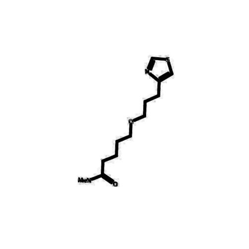 CNC(=O)CCCCOCCCc1cscn1